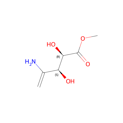 C=C(N)[C@H](O)[C@@H](O)C(=O)OC